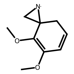 COC1=C(OC)C2(CC=C1)C[N]2